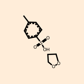 C1COOC1.Cc1ccc(S(=O)(=O)O)cc1